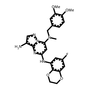 COc1ccc(CN(C)c2cc(Nc3cc(F)cc4c3OCCO4)nc3c(N)cnn23)cc1OC